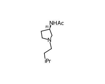 CC(=O)N[C@@H]1CCN(CCC(C)C)C1